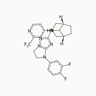 Fc1ccc(N2CCn3nc(NC4[C@@H]5CC[C@H]4CN(c4ccnc(C(F)(F)F)c4)C5)nc32)cc1F